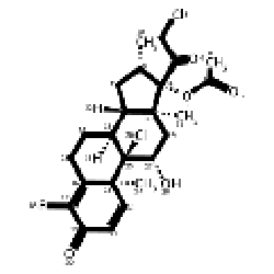 CC(=O)O[C@@]1(C(=O)CCl)[C@@H](C)C[C@H]2[C@@H]3CCC4=C(F)C(=O)C=C[C@]4(C)[C@@]3(Cl)[C@@H](O)C[C@@]21C